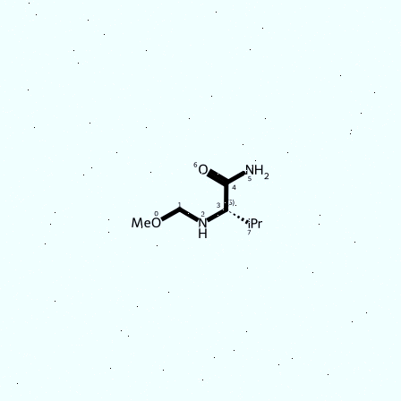 COCN[C@H](C(N)=O)C(C)C